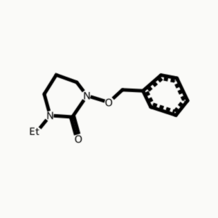 CCN1CCCN(OCc2ccccc2)C1=O